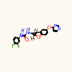 O=C(Nc1ccc(F)c(F)c1)N[C@@H]1[C@H]2Oc3ccc(Oc4ccncn4)cc3[C@@H]12